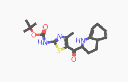 Cc1nc(NC(=O)OC(C)(C)C)sc1C(=O)C1CCC2CCCC=C2N1